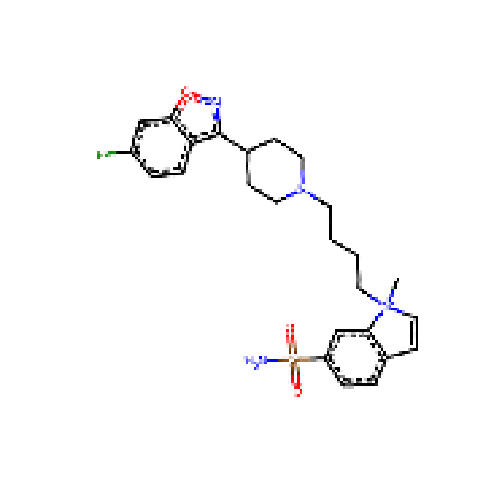 C[N+]1(CCCCN2CCC(c3noc4cc(F)ccc34)CC2)C=Cc2ccc(S(N)(=O)=O)cc21